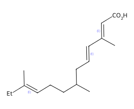 CC/C(C)=C/CCC(C)C/C=C/C(C)=C/C(=O)O